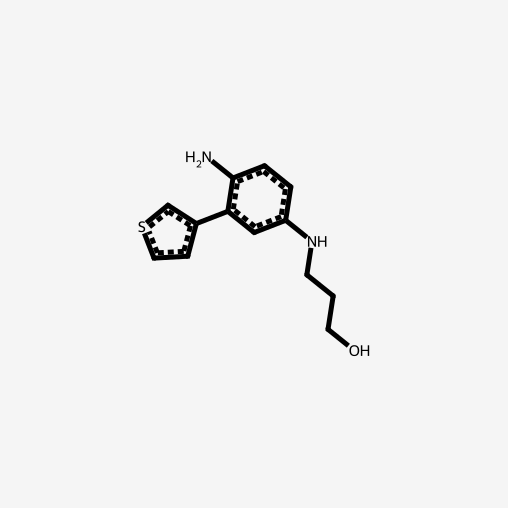 Nc1ccc(NCCCO)cc1-c1ccsc1